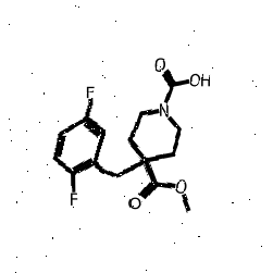 COC(=O)C1(Cc2cc(F)ccc2F)CCN(C(=O)O)CC1